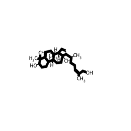 C/C(=C/CC[C@@H](C)[C@H]1CC[C@H]2[C@@H]3CC=C4C(C)(C)[C@@H](O)CC[C@]4(C)[C@H]3CC[C@]12C)CO